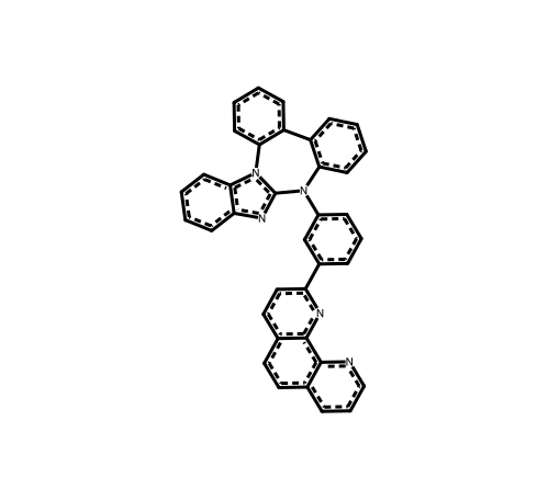 c1cc(-c2ccc3ccc4cccnc4c3n2)cc(N2c3ccccc3-c3ccccc3-n3c2nc2ccccc23)c1